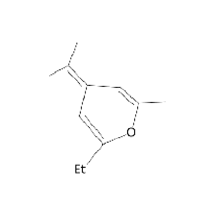 CCC1=CC(=C(C)C)C=C(C)O1